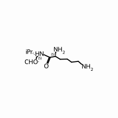 CC(C)[C@@H]([C]=O)NC(=O)[C@@H](N)CCCCN